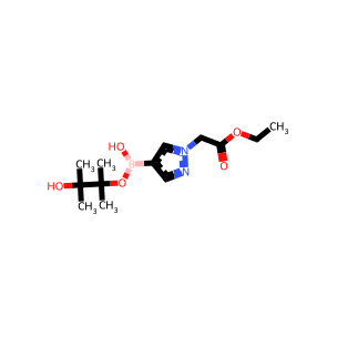 CCOC(=O)Cn1cc(B(O)OC(C)(C)C(C)(C)O)cn1